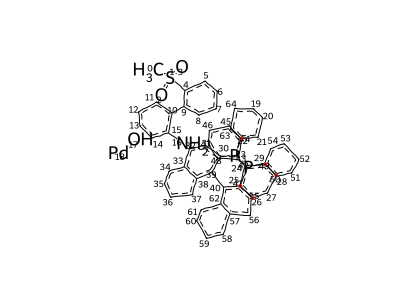 CS(=O)(=O)c1ccccc1-c1ccccc1N.[OH][Pd].c1ccc(P(c2ccccc2)c2ccc3ccccc3c2-c2c(P(c3ccccc3)c3ccccc3)ccc3ccccc23)cc1